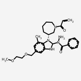 C=CC(=O)N1CCCC[C@@H](N2c3c(C)cc(COCCOC)cc3NC2N(N)C(=O)c2ccccc2)C1